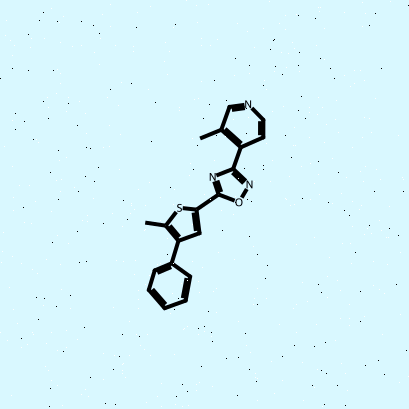 Cc1cnccc1-c1noc(-c2cc(-c3ccccc3)c(C)s2)n1